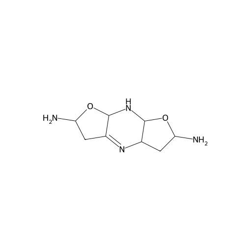 NC1CC2=NC3CC(N)OC3NC2O1